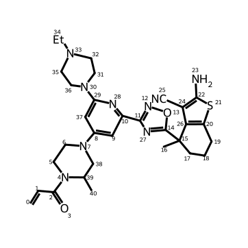 C=CC(=O)N1CCN(c2cc(-c3noc(C4(C)CCCc5sc(N)c(C#N)c54)n3)nc(N3CCN(CC)CC3)c2)CC1C